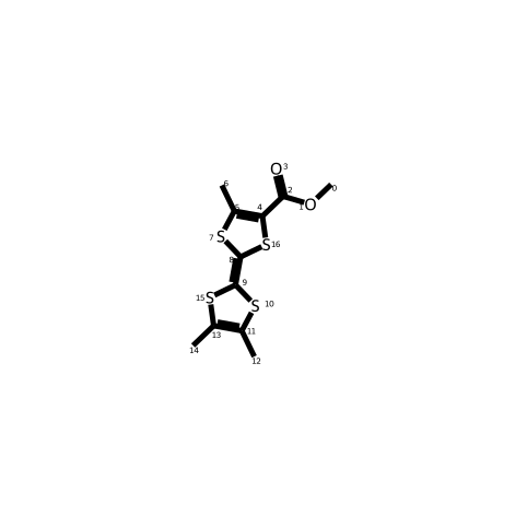 COC(=O)C1=C(C)SC(=C2SC(C)=C(C)S2)S1